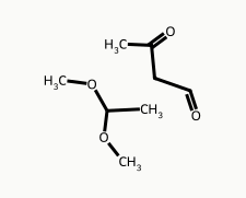 CC(=O)CC=O.COC(C)OC